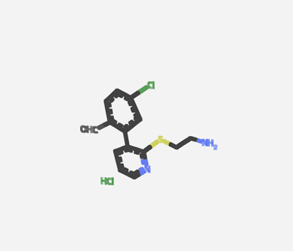 Cl.NCCSc1ncccc1-c1cc(Cl)ccc1C=O